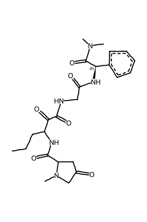 CCCC(NC(=O)C1CC(=O)CN1C)C(=O)C(=O)NCC(=O)N[C@@H](C(=O)N(C)C)c1ccccc1